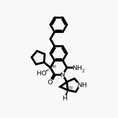 NC1c2ccc(Cc3ccccc3)cc2[C@](O)(C2CCCC2)C(=O)N1C12CNC[C@@H]1C2